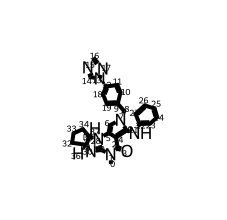 CN1C(=O)c2c(cn(Cc3ccc(-n4cncn4)cc3)c2Nc2ccccc2)N2C1=N[C@@H]1CCC[C@@H]12